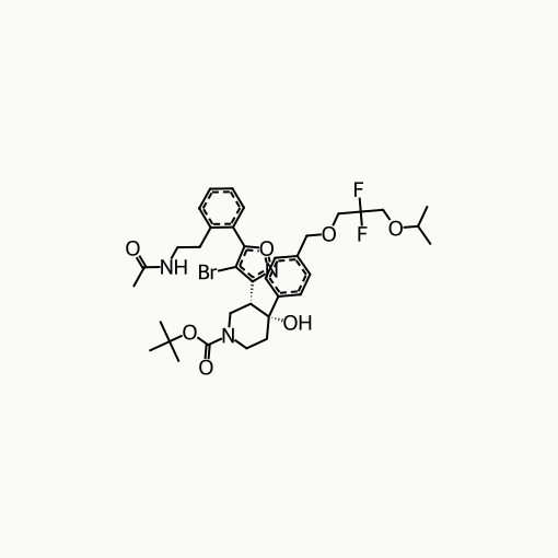 CC(=O)NCCc1ccccc1-c1onc([C@H]2CN(C(=O)OC(C)(C)C)CC[C@]2(O)c2ccc(COCC(F)(F)COC(C)C)cc2)c1Br